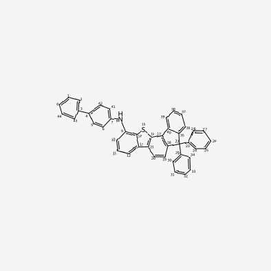 c1ccc(-c2ccc(Nc3cccc4c3sc3c5c(ccc34)C(c3ccccc3)(c3ccccc3)c3ccccc3-5)cc2)cc1